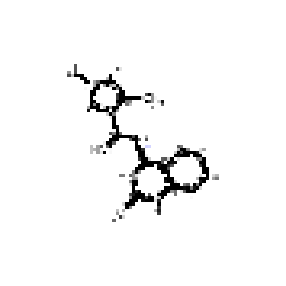 CCn1cc(C(=N)/N=c2\[nH]c(=O)[nH]c3ccccc23)c(C)n1